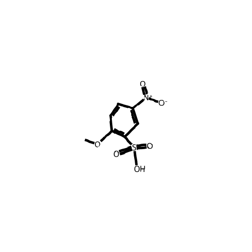 COc1ccc([N+](=O)[O-])cc1S(=O)(=O)O